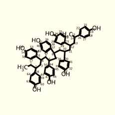 CCC(CC(CC(CC(CC(CC(CC(C)c1ccc(O)cc1)c1ccc(O)cc1)c1ccc(O)cc1)c1ccc(O)cc1)c1ccc(O)cc1)c1ccc(O)cc1)c1ccc(O)cc1